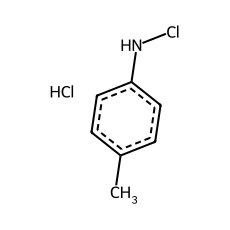 Cc1ccc(NCl)cc1.Cl